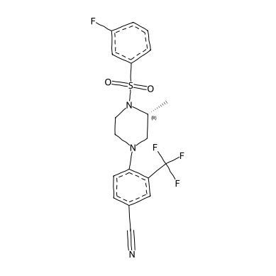 C[C@@H]1CN(c2ccc(C#N)cc2C(F)(F)F)CCN1S(=O)(=O)c1cccc(F)c1